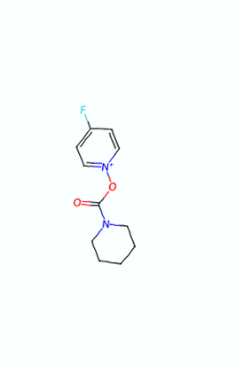 O=C(O[n+]1ccc(F)cc1)N1CCCCC1